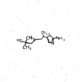 CC(CCCC(C)(C)O)c1cnc(N)s1